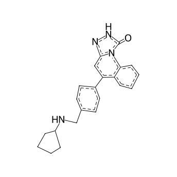 O=c1[nH]nc2cc(-c3ccc(CNC4CCCC4)cc3)c3ccccc3n12